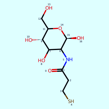 O=C(CCS)NC1C(O)[C@H](O)C(CO)O[C@H]1O